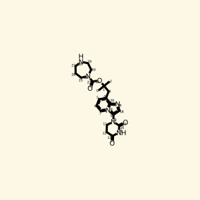 CC(C)(Cc1cccn2c(N3CCC(=O)NC3=O)cnc12)OC(=O)N1CCCNCC1